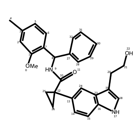 COc1cc(C)ccc1C(NC(=O)C1(c2ccc3[nH]cc(CCO)c3c2)CC1)c1ccccc1